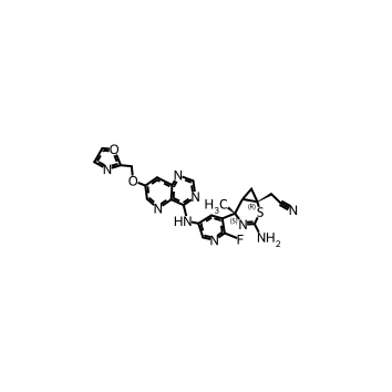 C[C@]1(c2cc(Nc3ncnc4cc(OCc5ncco5)cnc34)cnc2F)N=C(N)S[C@@]2(CC#N)CC21